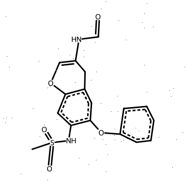 CS(=O)(=O)Nc1cc2c(cc1Oc1ccccc1)CC(NC=O)=CO2